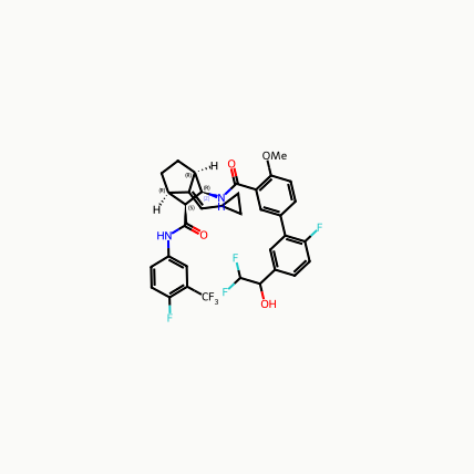 COc1ccc(-c2cc(C(O)C(F)F)ccc2F)cc1C(=O)N[C@H]1[C@@H](C(=O)Nc2ccc(F)c(C(F)(F)F)c2)[C@H]2CC[C@@H]1/C2=C\C1CC1